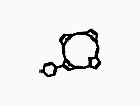 C1=CC(C2=CC3=CC4=NC(=CC5=NC(=CC6=NC(=CC2=N3)C=C6)C=C5)C=C4)=CCN1